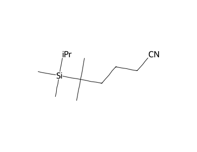 CC(C)[Si](C)(C)C(C)(C)CCCC#N